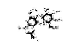 CO[C@H]1O[C@H](COC(C)=O)[C@@H](O[C@@H]2O[C@H](CO)[C@H](OC(C)=O)[C@H](OC(C)=O)[C@H]2OC(C)=O)[C@H](OC(C)=O)[C@@H]1CC(N)=O